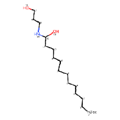 CCCCCCCCCCCCCCCCCCCCCC(O)NCCCO